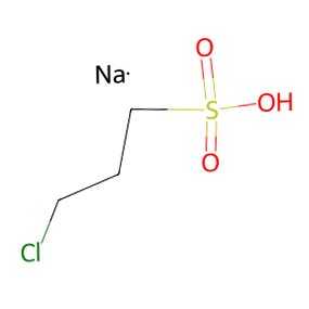 O=S(=O)(O)CCCCl.[Na]